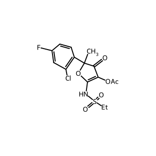 CCS(=O)(=O)NC1=C(OC(C)=O)C(=O)C(C)(c2ccc(F)cc2Cl)O1